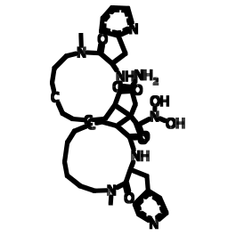 CN1CCCCCCCCC(C(CC(N)=O)(C(=O)N(O)O)C2CCCCCCCCN(C)C(=O)C(Cc3ccccn3)NC2=O)C(=O)NC(Cc2ccncc2)C1=O